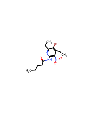 CCCCC(=O)Nc1nc(CC)c(Br)c(CC)c1[N+](=O)[O-]